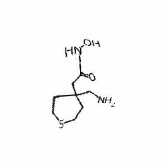 NCC1(CC(=O)NO)CCSCC1